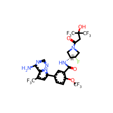 Nc1ncnn2c(-c3ccc(OC(F)(F)F)c(C(=O)N[C@@H]4CN(C(=O)CC(O)(C(F)(F)F)C(F)(F)F)C[C@@H]4F)c3)cc(C(F)(F)F)c12